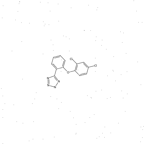 Clc1ccc(Oc2ccccc2C2=N[N]N=N2)c(Cl)c1